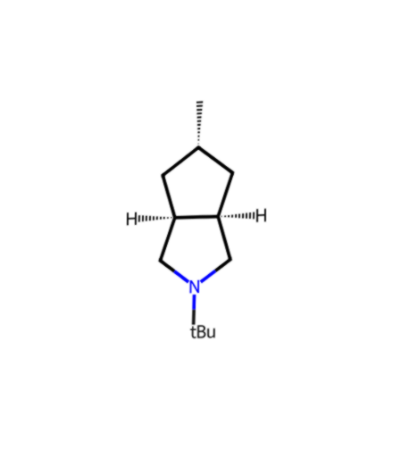 C[C@H]1C[C@@H]2CN(C(C)(C)C)C[C@@H]2C1